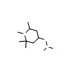 CC1CC(OP(O)O)CC(C)(C)N1C